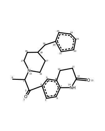 CC(C(=O)c1ccc2c(c1)CCC(=O)N2)N1CCC(Cc2ccccc2)CC1